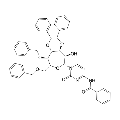 O=C(Nc1ccn([C@@H]2O[C@H](COCc3ccccc3)[C@@H](OCc3ccccc3)[C@H](OCc3ccccc3)[C@@H](OCc3ccccc3)[C@H]2O)c(=O)n1)c1ccccc1